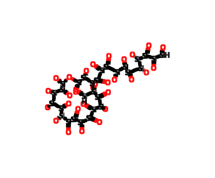 O=[SiH][Si](=O)[Si](=O)[Si](=O)[Si](=O)[Si](=O)[Si](=O)[Si](=O)[Si](=O)[Si](=O)[Si](=O)[Si](=O)[Si](=O)[Si](=O)O[Si](=O)[Si](=O)[Si](=O)[Si](=O)[Si](=O)[Si](=O)[Si](=O)[Si](=O)[Si](=O)[Si](=O)[Si](=O)[Si](=O)[Si](=O)[Si](=O)[SiH]=O